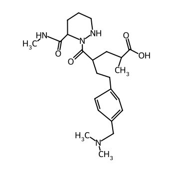 CNC(=O)C1CCCNN1C(=O)C(CCc1ccc(CN(C)C)cc1)CC(C)C(=O)O